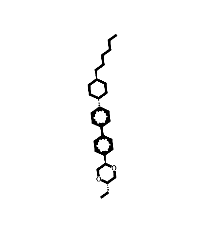 CCCCCC[C@H]1CC[C@H](c2ccc(-c3ccc([C@@H]4CO[C@@H](CC)CO4)cc3)cc2)CC1